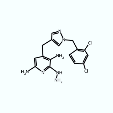 NNc1nc(N)cc(Cc2cnn(Cc3ccc(Cl)cc3Cl)c2)c1N